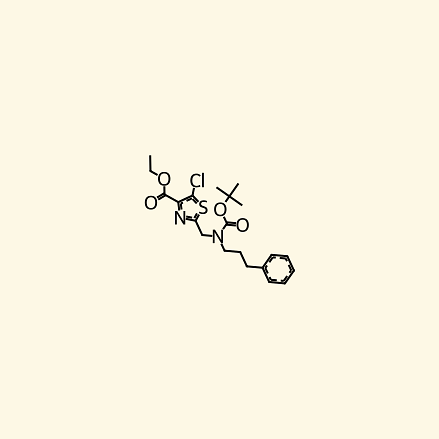 CCOC(=O)c1nc(CN(CCCc2ccccc2)C(=O)OC(C)(C)C)sc1Cl